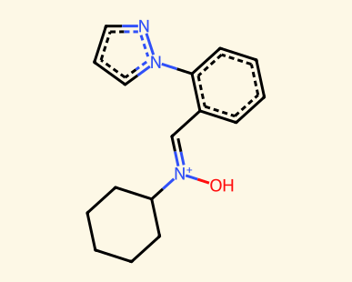 O/[N+](=C\c1ccccc1-n1cccn1)C1CCCCC1